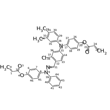 C=CC(=O)Oc1ccc(N(N=Cc2ccc(N(c3ccc(OC(=O)C=C)cc3)c3ccc(C)c(C)c3)cc2Cl)c2ccccc2)cc1